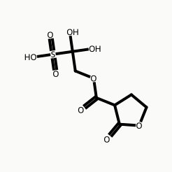 O=C1OCCC1C(=O)OCC(O)(O)S(=O)(=O)O